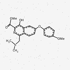 COC(=O)c1nc(CN(C)C)c2ccc(Oc3ccc(OC)cc3)cc2c1O